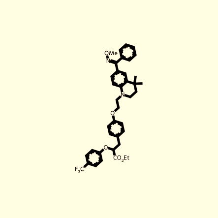 CCOC(=O)C(Cc1ccc(OCCN2CCC(C)(C)c3cc(/C(=N/OC)c4ccccc4)ccc32)cc1)Oc1ccc(C(F)(F)F)cc1